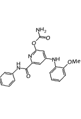 COc1ccccc1Nc1cc(OC(N)=O)nc(C(=O)Nc2ccccc2)c1